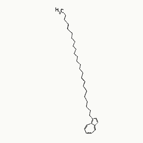 CCCCCCCCCCCCCCCCCCCCCCCCCc1ccc2cccccc1-2